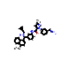 COc1ccc(C(NCC2CC2)c2cccc(NC(=O)c3cc(C(F)(F)F)nn3-c3cccc(CN)c3)c2)c2ccccc12